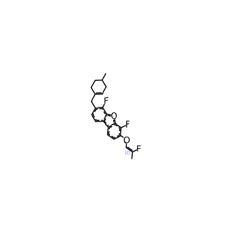 C/C(F)=C/Oc1ccc2c(oc3c(F)c(CC4=CCC(C)CC4)ccc32)c1F